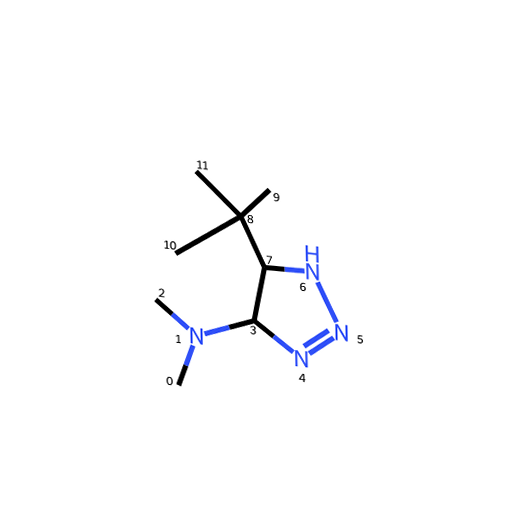 CN(C)C1N=NNC1C(C)(C)C